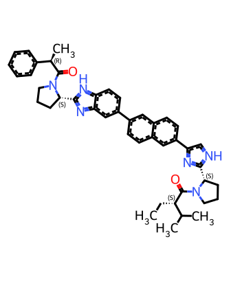 CC[C@H](C(=O)N1CCC[C@H]1c1nc(-c2ccc3cc(-c4ccc5[nH]c([C@@H]6CCCN6C(=O)[C@H](C)c6ccccc6)nc5c4)ccc3c2)c[nH]1)C(C)C